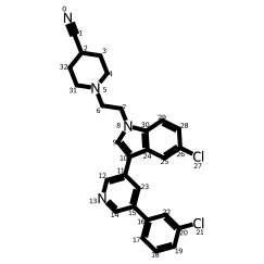 N#CC1CCN(CCn2cc(-c3cncc(-c4cccc(Cl)c4)c3)c3cc(Cl)ccc32)CC1